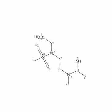 CC(S)N(C)CCN(CC(=O)O)S(C)(=O)=O